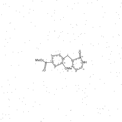 COC(=O)c1ccc(Cc2ccc[nH]c2=O)c(OC)c1